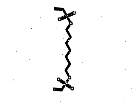 C=CS(=O)(=O)OCCCCCCCOS(=O)(=O)C=C